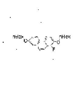 CCCCCCOc1ccc2c(c1)ncc1c(F)c(OCCCCCC)ccc12